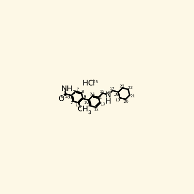 Cc1cc(C(N)=O)ccc1-c1cccc(CNCC2CCCCC2)c1.Cl